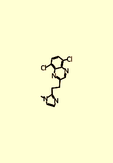 Cn1ccnc1CCc1cnc2c(Cl)ccc(Cl)c2n1